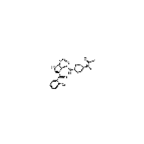 CC(=O)N(C)[C@H]1CC[C@@H](Nc2ncnc3[nH]cc(C(=O)c4ccccc4Cl)c23)CC1